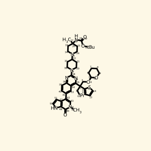 CC(C)CC(COC1CCCCO1)(c1cccs1)c1nc(N2CCC(N3CCC(C)(NC(=O)OC(C)(C)C)CC3)CC2)nc2ccc(-c3cn(C)c(=O)c4[nH]ccc34)cc12